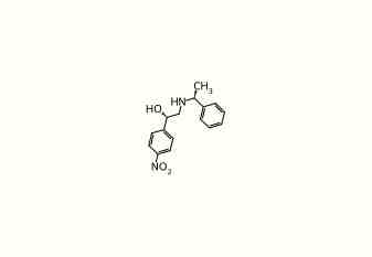 C[C@H](NC[C@H](O)c1ccc([N+](=O)[O-])cc1)c1ccccc1